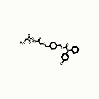 CCS(=O)(=O)ONC(=O)COCC1CCC(COC(=O)N(c2ccccc2)c2ccc(Cl)cc2)CC1